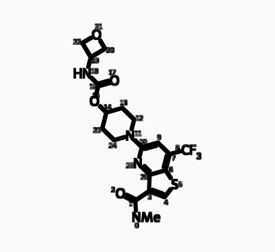 CNC(=O)c1csc2c(C(F)(F)F)cc(N3CCC(OC(=O)NC4COC4)CC3)nc12